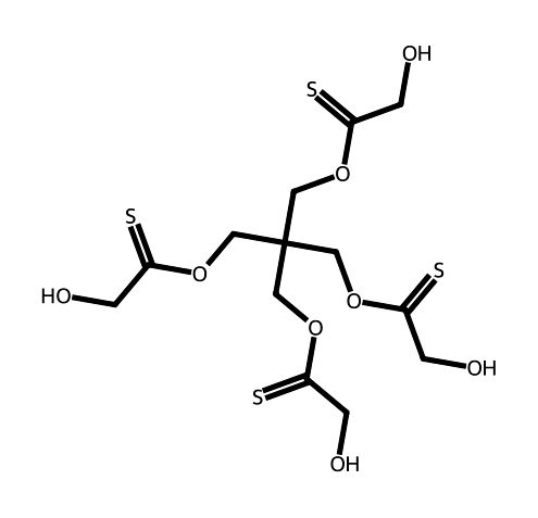 OCC(=S)OCC(COC(=S)CO)(COC(=S)CO)COC(=S)CO